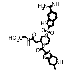 CC1Cc2nc(C(=O)N3CCN(S(=O)(=O)c4cc5ccc(C(=N)N)cc5[nH]4)CC3CC(=O)NCC(=O)O)sc2CN1